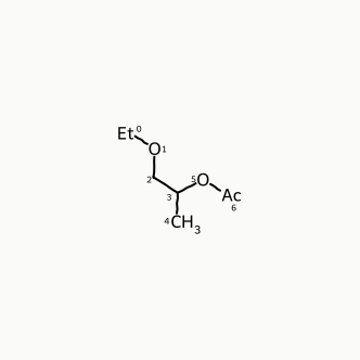 CCOCC(C)OC(C)=O